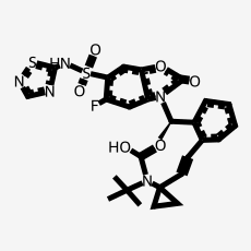 C[C@H](c1ccccc1C#CC1(N(C(=O)O)C(C)(C)C)CC1)n1c(=O)oc2cc(S(=O)(=O)Nc3ncns3)c(F)cc21